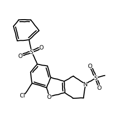 CS(=O)(=O)N1CCc2oc3c(Cl)cc(S(=O)(=O)c4ccccc4)cc3c2C1